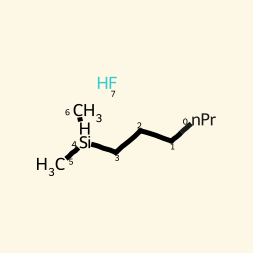 CCCCCC[SiH](C)C.F